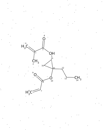 C=C(C)C(=O)O.C=CC(=O)OC1(CCC)CC1